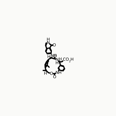 Cc1cc2ccc1[C@@H](C)COC(=O)Nc1cccc(c1)[C@@H](CC(=O)O)NC(=O)[C@@H]2Nc1ccc2cc[nH]c(=O)c2c1